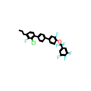 CCCc1ccc(-c2ccc(-c3ccc(OC(F)(F)c4cc(F)c(F)c(F)c4)c(F)c3)cc2)c(Cl)c1F